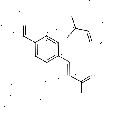 CC(C)C=O.O=Cc1ccc(C=CC(=O)O)cc1